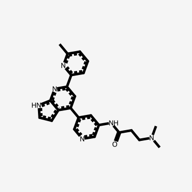 Cc1cccc(-c2cc(-c3cncc(NC(=O)CCN(C)C)c3)c3cc[nH]c3n2)n1